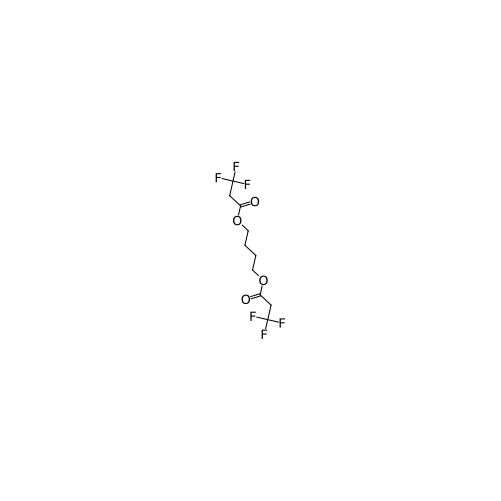 O=C(CC(F)(F)F)OCCCCOC(=O)CC(F)(F)F